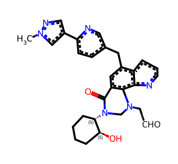 Cn1cc(-c2ccc(Cc3cc4c(c5ncccc35)N(CC=O)CN([C@H]3CCCC[C@@H]3O)C4=O)cn2)cn1